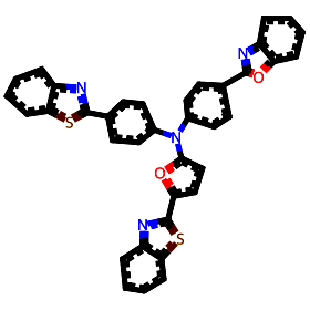 c1ccc2oc(-c3ccc(N(c4ccc(-c5nc6ccccc6s5)cc4)c4ccc(-c5nc6ccccc6s5)o4)cc3)nc2c1